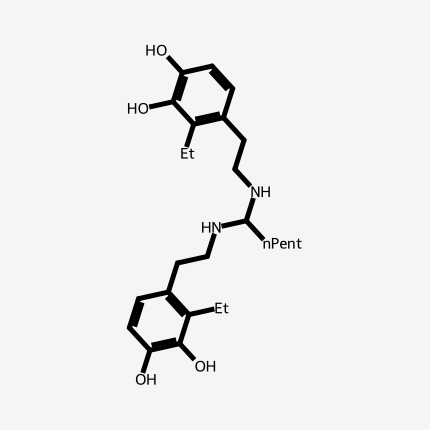 CCCCCC(NCCc1ccc(O)c(O)c1CC)NCCc1ccc(O)c(O)c1CC